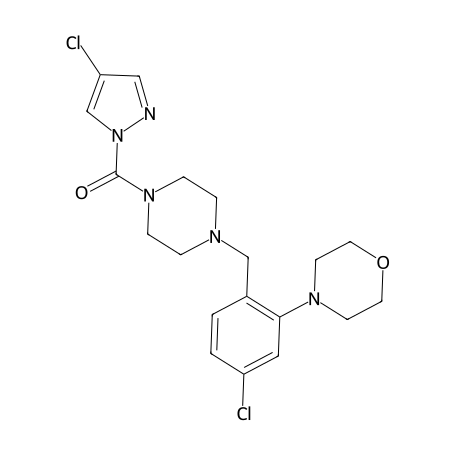 O=C(N1CCN(Cc2ccc(Cl)cc2N2CCOCC2)CC1)n1cc(Cl)cn1